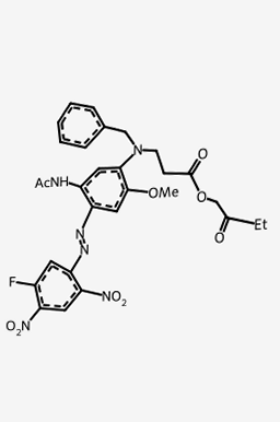 CCC(=O)COC(=O)CCN(Cc1ccccc1)c1cc(NC(C)=O)c(/N=N/c2cc(F)c([N+](=O)[O-])cc2[N+](=O)[O-])cc1OC